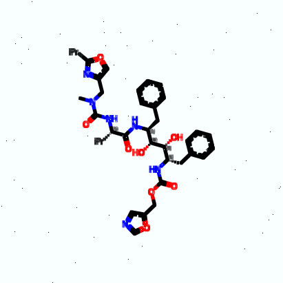 CC(C)c1nc(CN(C)C(=O)N[C@H](C(=O)N[C@@H](Cc2ccccc2)[C@@H](O)[C@H](O)[C@H](Cc2ccccc2)NC(=O)OCc2cnco2)C(C)C)co1